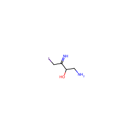 N=C(CI)C(O)CN